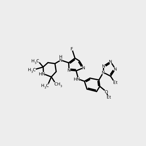 CCOc1ccc(Nc2ncc(F)c(NC3CC(C)(C)NC(C)(C)C3)n2)cc1-n1nnnc1CC